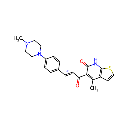 Cc1c(C(=O)/C=C/c2ccc(N3CCN(C)CC3)cc2)c(=O)[nH]c2sccc12